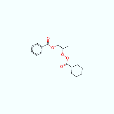 CC(COC(=O)c1ccccc1)OOC(=O)C1CCCCC1